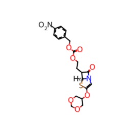 O=C(OCCC1C(=O)N2C=C(OC3COCOC3)S[C@@H]12)OCc1ccc([N+](=O)[O-])cc1